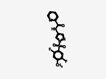 Cc1cc(F)c(S(=O)(=O)n2cc(NC(=O)c3ccccn3)cn2)cc1F